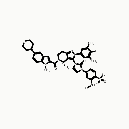 CCNc1cc(-n2ccn(-c3c4c(nn3-c3cc(C)c(F)c(C)c3)CCN(C(=O)c3cc5cc(C6CCOCC6)ccc5n3C)[C@H]4C)c2=O)ccc1P(=O)(CC)CC